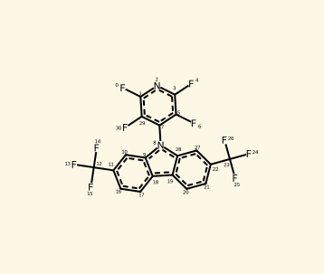 Fc1nc(F)c(F)c(-n2c3cc(C(F)(F)F)ccc3c3ccc(C(F)(F)F)cc32)c1F